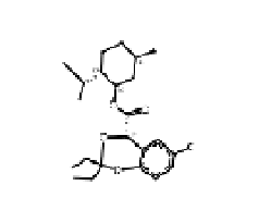 CCC1(CC)Oc2ccc(Cl)cc2[C@@H](C(=O)O[C@@H]2C[C@H](C)CC[C@H]2C(C)C)O1